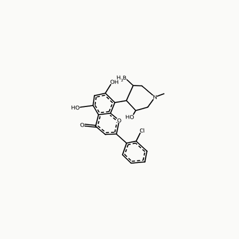 BC1CN(C)CC(O)C1c1c(O)cc(O)c2c(=O)cc(-c3ccccc3Cl)oc12